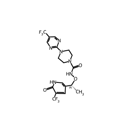 C[C@@H](ONC(=O)N1CCN(c2ncc(C(F)(F)F)cn2)CC1)c1c[nH]c(=O)c(C(F)(F)F)c1